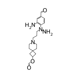 Nc1cc(C=O)ccc1N(N)CCCN1CCC2(CC1)CC(OC=O)C2